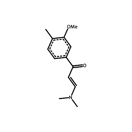 COc1cc(C(=O)C=CN(C)C)ccc1C